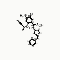 CC#CC(C)Oc1cc(N)c(Cl)cc1C(=O)NC1CCN(Cc2ccccc2)C1.Cl